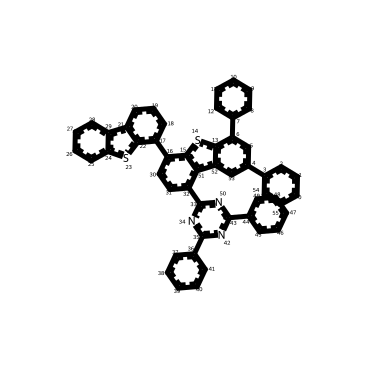 c1ccc(-c2cc(-c3ccccc3)c3sc4c(-c5cccc6c5sc5ccccc56)ccc(-c5nc(-c6ccccc6)nc(-c6ccccc6)n5)c4c3c2)cc1